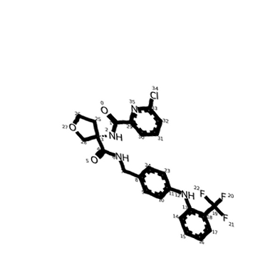 O=C(N[C@@]1(C(=O)NCc2ccc(Nc3ccccc3C(F)(F)F)cc2)CCOC1)c1cccc(Cl)n1